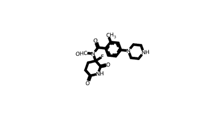 Cc1cc(N2CCNCC2)ccc1C(=O)N(C=O)C1(F)CCC(=O)NC1=O